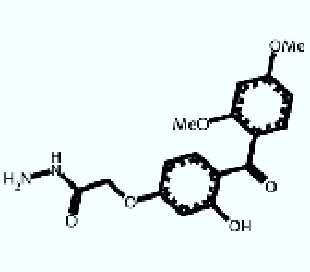 COc1ccc(C(=O)c2ccc(OCC(=O)NN)cc2O)c(OC)c1